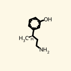 C[C@H](CCN)c1cccc(O)c1